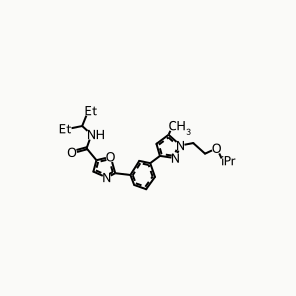 CCC(CC)NC(=O)c1cnc(-c2cccc(-c3cc(C)n(CCOC(C)C)n3)c2)o1